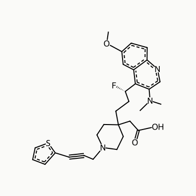 COc1ccc2ncc(N(C)C)c([C@@H](F)CCC3(CC(=O)O)CCN(CC#Cc4cccs4)CC3)c2c1